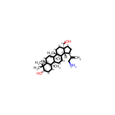 C=C(CN)[C@@H]1CC[C@]2(CO)CC[C@]3(C)C(CCC4[C@@]5(C)CC[C@H](O)C(C)(C)[C@@H]5CC[C@]43C)[C@@H]12